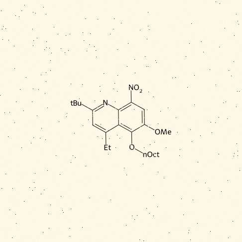 CCCCCCCCOc1c(OC)cc([N+](=O)[O-])c2nc(C(C)(C)C)cc(CC)c12